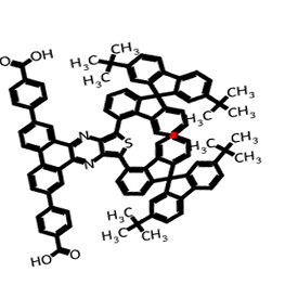 CC(C)(C)c1ccc2c(c1)C1(c3cc(C(C)(C)C)ccc3-2)c2ccccc2-c2c(-c3sc(-c4cccc5c4-c4ccccc4C54c5cc(C(C)(C)C)ccc5-c5ccc(C(C)(C)C)cc54)c4nc5c6cc(-c7ccc(C(=O)O)cc7)ccc6c6ccc(-c7ccc(C(=O)O)cc7)cc6c5nc34)cccc21